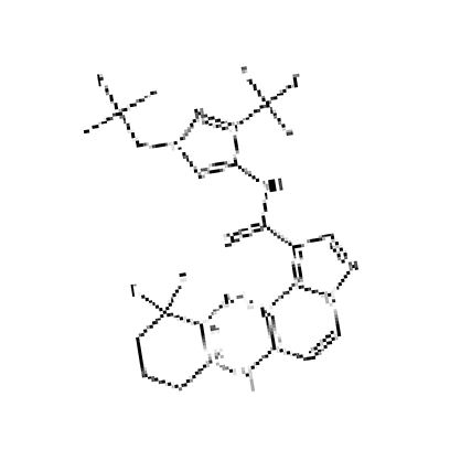 N[C@@H]1[C@H](Nc2ccn3ncc(C(=O)Nc4cn(CC(F)(F)F)nc4C(F)(F)F)c3n2)CCCC1(F)F